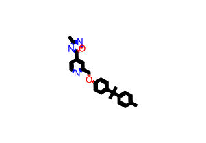 Cc1ccc(C(C)(C)c2ccc(OCc3cc(-c4nc(C)no4)ccn3)cc2)cc1